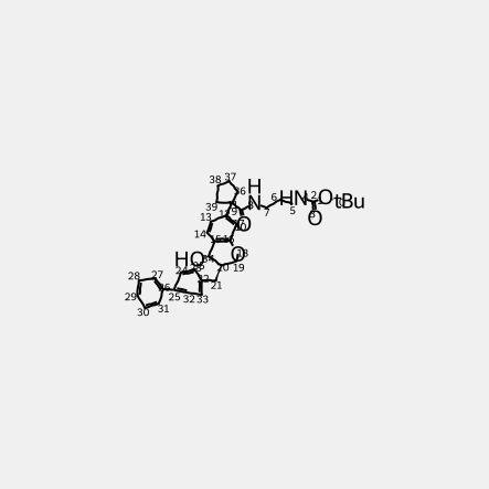 CC(C)(C)OC(=O)NCCCNC(=O)C1(c2ccc3c(c2)OC[C@@H](Cc2ccc(-c4ccccc4)cc2)[C@@H]3O)CCCC1